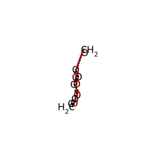 C=CC(=O)CCCCCCCCCCCCOC1CCC(C(=O)OC2CCC(OC(=O)C#Cc3ccc(OCCOCCOC(=O)C=C)cc3)CC2)CC1